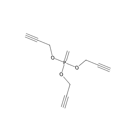 C#CCOP(=C)(OCC#C)OCC#C